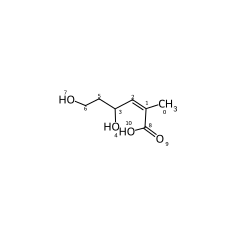 CC(=CC(O)CCO)C(=O)O